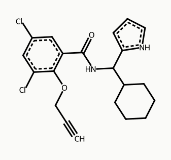 C#CCOc1c(Cl)cc(Cl)cc1C(=O)NC(c1ccc[nH]1)C1CCCCC1